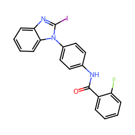 O=C(Nc1ccc(-n2c(I)nc3ccccc32)cc1)c1ccccc1F